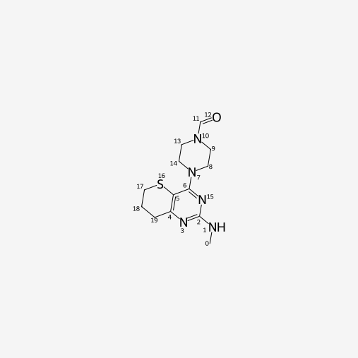 CNc1nc2c(c(N3CCN(C=O)CC3)n1)SCCC2